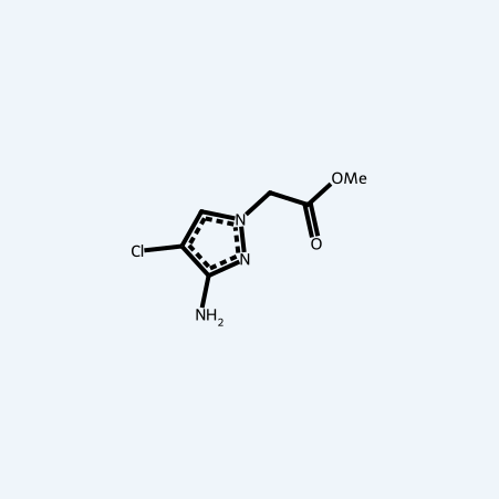 COC(=O)Cn1cc(Cl)c(N)n1